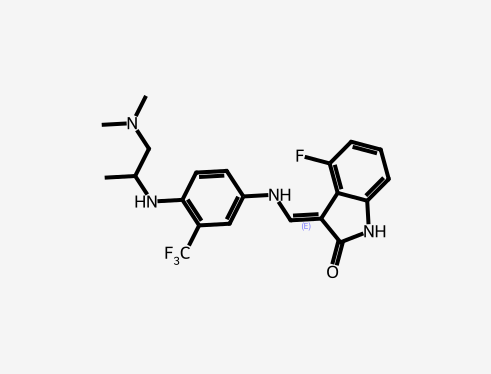 CC(CN(C)C)Nc1ccc(N/C=C2/C(=O)Nc3cccc(F)c32)cc1C(F)(F)F